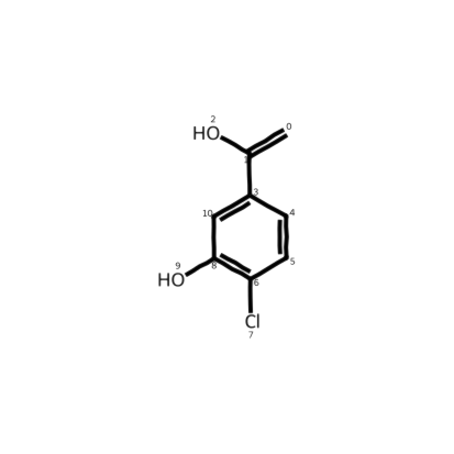 C=C(O)c1ccc(Cl)c(O)c1